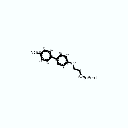 CCCCCOCCOc1ccc(-c2ccc(C#N)cc2)cc1